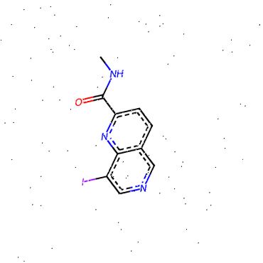 CNC(=O)c1ccc2cncc(I)c2n1